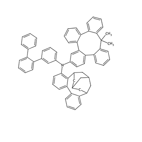 CC1(C)c2ccccc2-c2ccccc2-c2cc(N(c3cccc(-c4ccccc4-c4ccccc4)c3)c3cccc4c3C3CC5CC(CC(C5)c5ccccc5-4)C3)ccc2-c2ccccc21